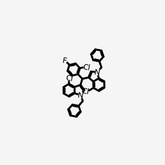 Fc1ccc(C(c2cn(Cc3ccccc3)c3cccc(Cl)c23)c2cn(Cc3ccccc3)c3cccc(Cl)c23)c(Cl)c1